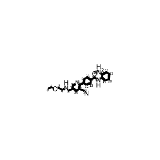 CCOCCNCc1cnc(-c2ccc(C(=O)Nc3ccccc3N)cc2)c(C#N)c1